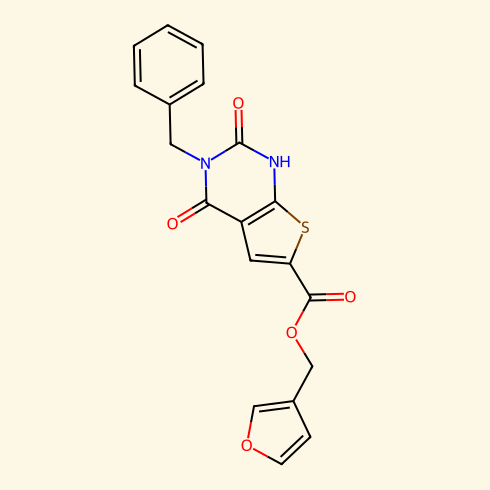 O=C(OCc1ccoc1)c1cc2c(=O)n(Cc3ccccc3)c(=O)[nH]c2s1